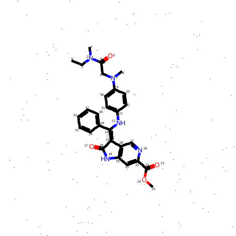 CCN(C)C(=O)CN(C)c1ccc(N/C(=C2/C(=O)Nc3cc(C(=O)OC)ncc32)c2ccccc2)cc1